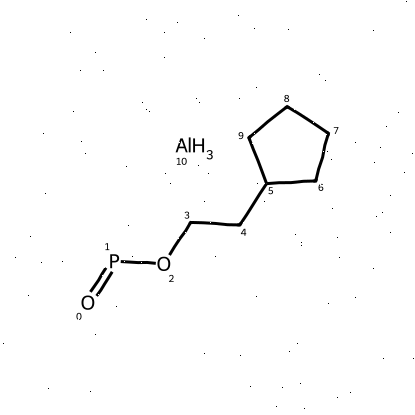 O=POCCC1CCCC1.[AlH3]